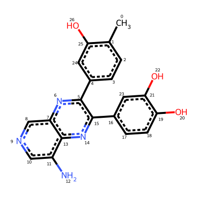 Cc1ccc(-c2nc3cncc(N)c3nc2-c2ccc(O)c(O)c2)cc1O